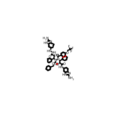 Nc1nc2ccc(NNC(=O)C(O)C(c3ccccc3)N(C(=O)OCc3ccccc3)N(C(=O)c3ccc(OCC(F)(F)F)cc3)C(c3ccccc3)C(O)C(=O)Nc3ccc4nc(N)[nH]c4c3)cc2[nH]1